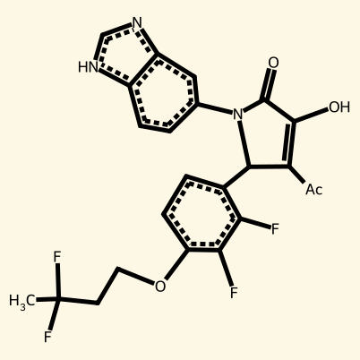 CC(=O)C1=C(O)C(=O)N(c2ccc3[nH]cnc3c2)C1c1ccc(OCCC(C)(F)F)c(F)c1F